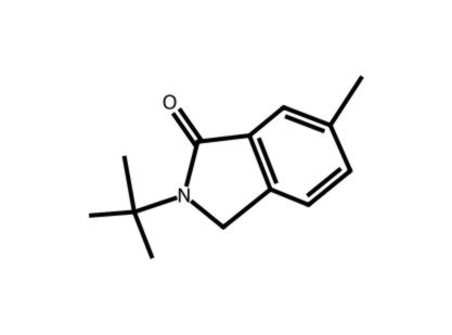 Cc1ccc2c(c1)C(=O)N(C(C)(C)C)C2